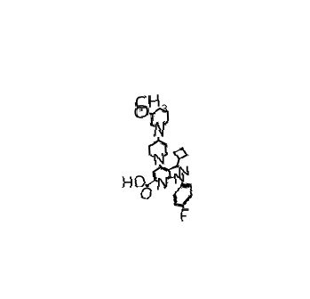 COC1CCCN(C2CCN(c3cc(C(=O)O)nc4c3c(C3CCC3)nn4-c3ccc(F)cc3)CC2)C1